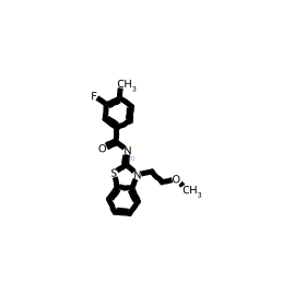 COCCn1/c(=N/C(=O)c2ccc(C)c(F)c2)sc2ccccc21